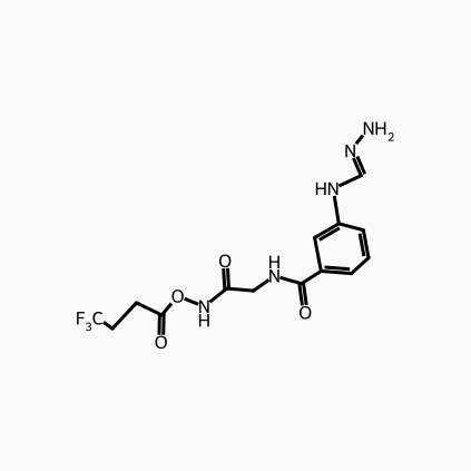 NN=CNc1cccc(C(=O)NCC(=O)NOC(=O)CCC(F)(F)F)c1